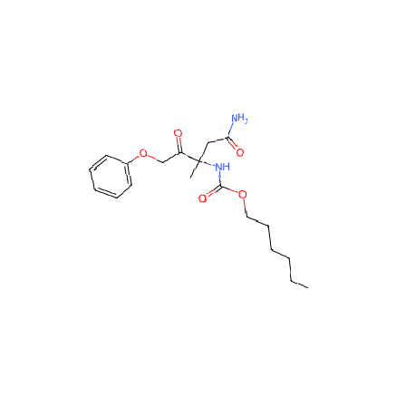 CCCCCCOC(=O)NC(C)(CC(N)=O)C(=O)COc1ccccc1